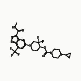 CNC(=O)c1csc2c(C(F)(F)F)cc(N3CCC(OC(=O)N4CCN(C5CC5)CC4)C(F)(F)C3)nc12